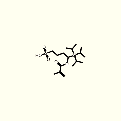 C=C(C)C(=O)OC(CCCS(=O)(=O)O)[Si](C(C)C)(C(C)C)C(C)C